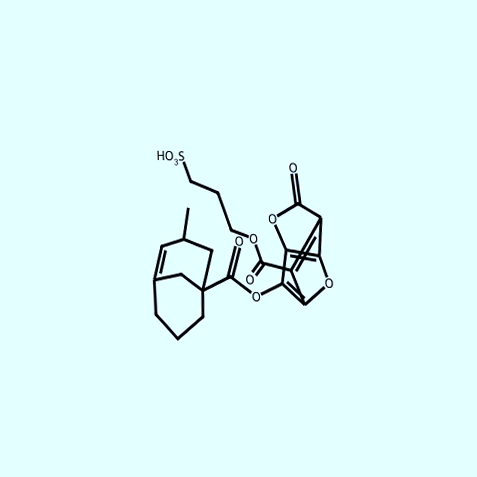 CC1C=C2CCCC(C(=O)Oc3c4c5oc3c(C(=O)OCCCS(=O)(=O)O)c5C(=O)O4)(C2)C1